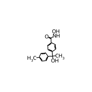 Cc1ccc(C(C)(O)c2ccc(C(=O)NO)cc2)cc1